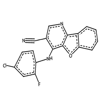 N#Cc1cnc2c(oc3ccccc32)c1Nc1ccc(Cl)cc1F